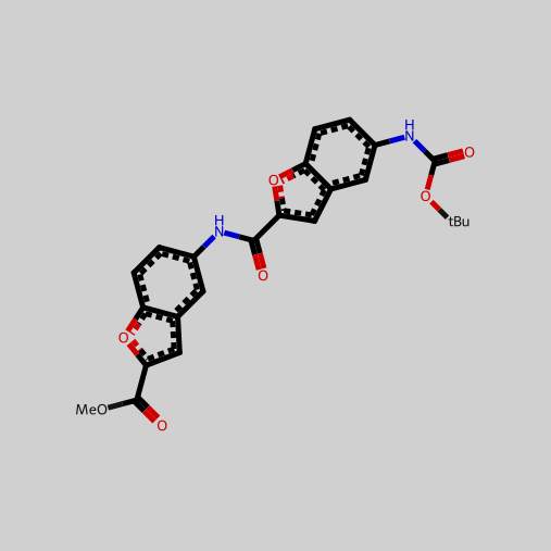 COC(=O)c1cc2cc(NC(=O)c3cc4cc(NC(=O)OC(C)(C)C)ccc4o3)ccc2o1